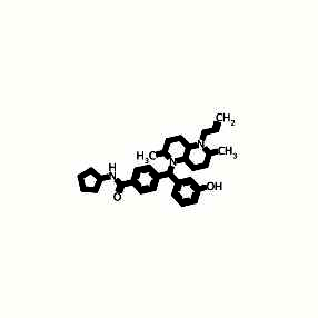 C=CCN1C(C)CCC2C1CCC(C)N2C(c1ccc(C(=O)NC2CCCC2)cc1)c1cccc(O)c1